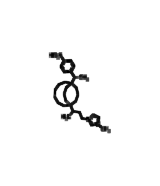 CC(CC[n+]1ccn(C)c1)C12CCCCCCC(C(C)c3ccc(S(=O)(=O)O)cc3)(CCC1)CCC2